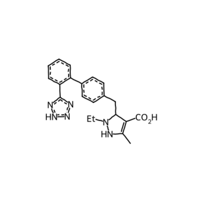 CCN1NC(C)=C(C(=O)O)C1Cc1ccc(-c2ccccc2-c2nn[nH]n2)cc1